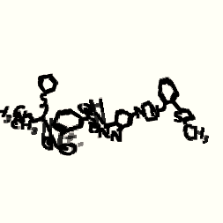 Cc1ccc(-c2ccccc2CN2CCN(c3ccc4c(NS(=O)(=O)c5ccc(NC(CCN(C)C)CSc6ccccc6)c([N+](=O)[O-])c5)ncnc4c3)CC2)s1